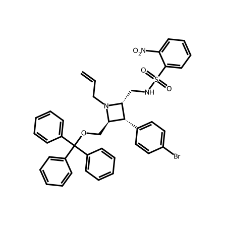 C=CCN1[C@H](CNS(=O)(=O)c2ccccc2[N+](=O)[O-])[C@H](c2ccc(Br)cc2)[C@H]1COC(c1ccccc1)(c1ccccc1)c1ccccc1